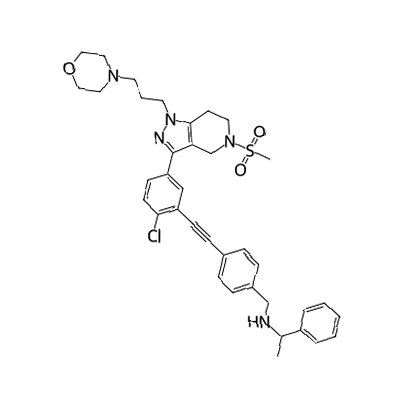 CC(NCc1ccc(C#Cc2cc(-c3nn(CCCN4CCOCC4)c4c3CN(S(C)(=O)=O)CC4)ccc2Cl)cc1)c1ccccc1